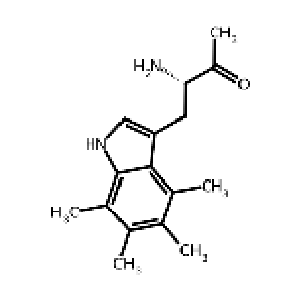 CC(=O)[C@@H](N)Cc1c[nH]c2c(C)c(C)c(C)c(C)c12